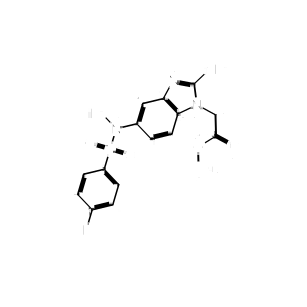 CCCc1nc2cc(N(C(C)C)S(=O)(=O)c3ccc(F)cc3)ccc2n1CC(=O)OC(C)(C)C